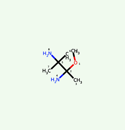 COC(C)(N)C(C)(C)N